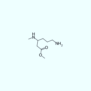 CNC(CCCN)CC(=O)OC